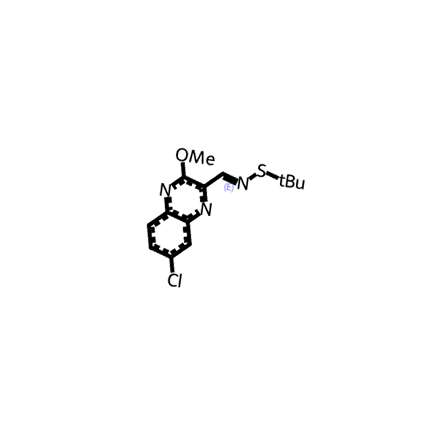 COc1nc2ccc(Cl)cc2nc1/C=N/SC(C)(C)C